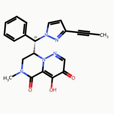 CC#Cc1ccn([C@@H](c2ccccc2)C2CN(C)C(=O)c3c(O)c(=O)cnn32)n1